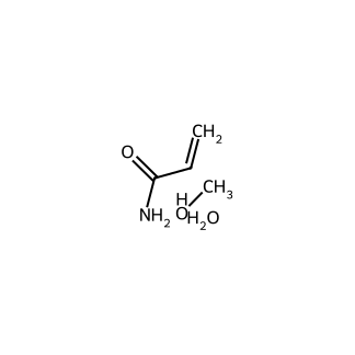 C=CC(N)=O.CO.O